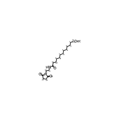 CCCCCCCCCCCCCCCCCCCCCC(=O)NCCN1C(=O)CCC1=O